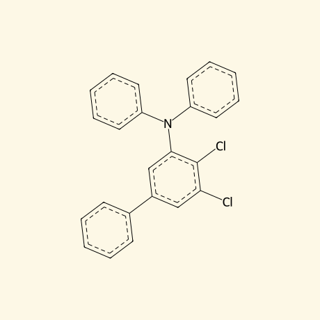 Clc1cc(-c2ccccc2)cc(N(c2ccccc2)c2ccccc2)c1Cl